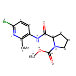 COc1nc(Br)ccc1NC(=O)C1CCCN1C(=O)OC(C)(C)C